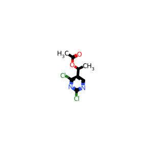 CC(=O)OC(C)c1cnc(Cl)nc1Cl